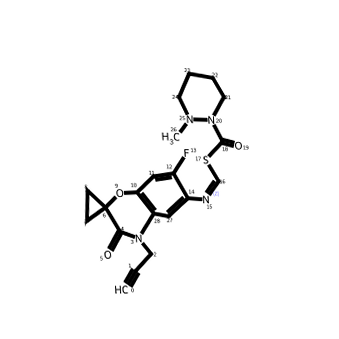 C#CCN1C(=O)C2(CC2)Oc2cc(F)c(/N=C\SC(=O)N3CCCCN3C)cc21